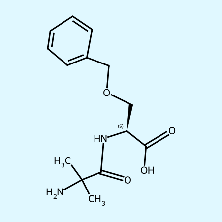 CC(C)(N)C(=O)N[C@@H](COCc1ccccc1)C(=O)O